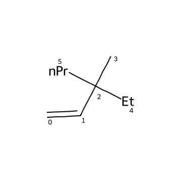 C=CC(C)(CC)CCC